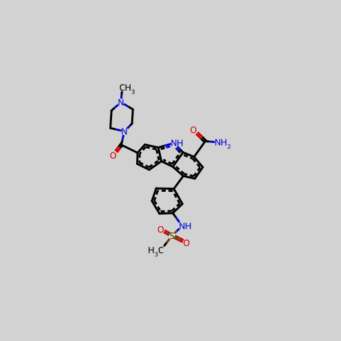 CN1CCN(C(=O)c2ccc3c(c2)[nH]c2c(C(N)=O)ccc(-c4cccc(NS(C)(=O)=O)c4)c23)CC1